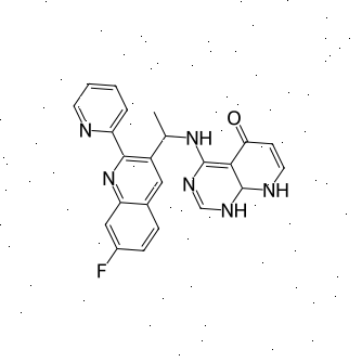 CC(NC1=C2C(=O)C=CNC2NC=N1)c1cc2ccc(F)cc2nc1-c1ccccn1